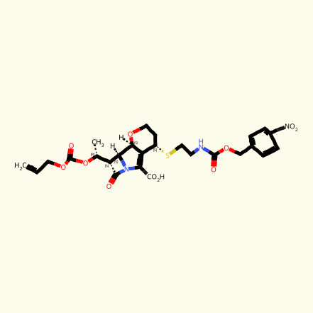 C=CCOC(=O)O[C@H](C)[C@H]1C(=O)N2C(C(=O)O)=C3[C@@H](SCCNC(=O)OCc4ccc([N+](=O)[O-])cc4)CCO[C@@H]3[C@H]12